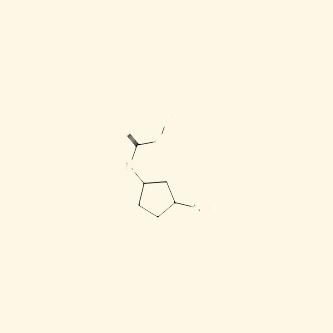 CC(C)(C)OC(=O)NC1CCC(N)C1